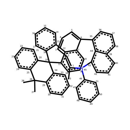 C\C1=C/C=C\C=C(/c2cccc3c2-c2ccccc2C32c3ccccc3C(C)(C)c3ccccc32)c2cccc3cccc(c23)N1c1ccccc1